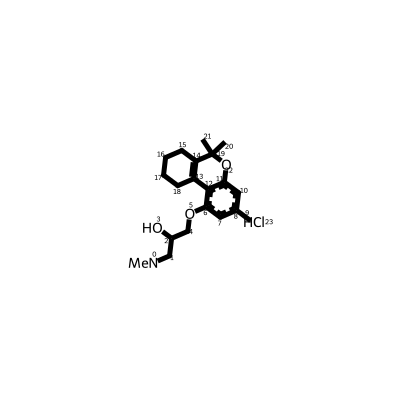 CNCC(O)COc1cc(C)cc2c1C1=C(CCCC1)C(C)(C)O2.Cl